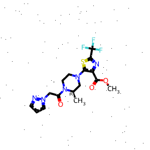 COC(=O)c1nc(C(F)(F)F)sc1N1CCN(C(=O)Cn2cccn2)[C@H](C)C1